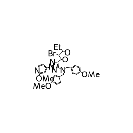 CCC(=O)C(Br)C(=O)c1nn(-c2ccnc(OC)c2)nc1N(Cc1ccc(OC)cc1)Cc1ccc(OC)cc1